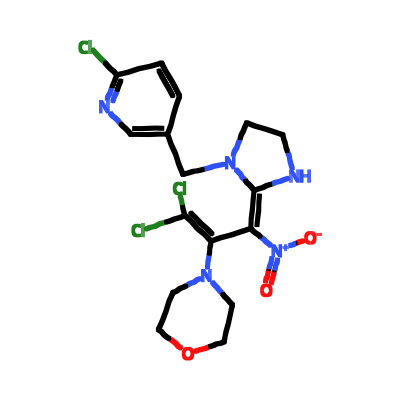 O=[N+]([O-])/C(C(=C(Cl)Cl)N1CCOCC1)=C1\NCCN1Cc1ccc(Cl)nc1